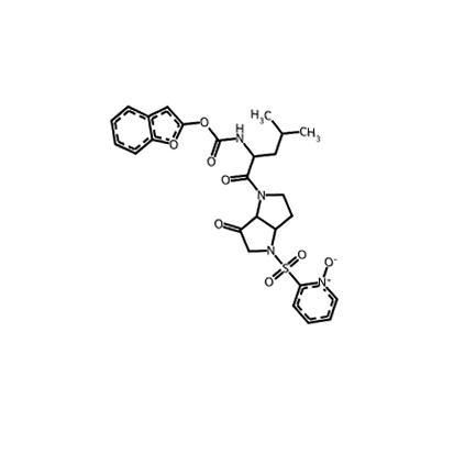 CC(C)CC(NC(=O)Oc1cc2ccccc2o1)C(=O)N1CCC2C1C(=O)CN2S(=O)(=O)c1cccc[n+]1[O-]